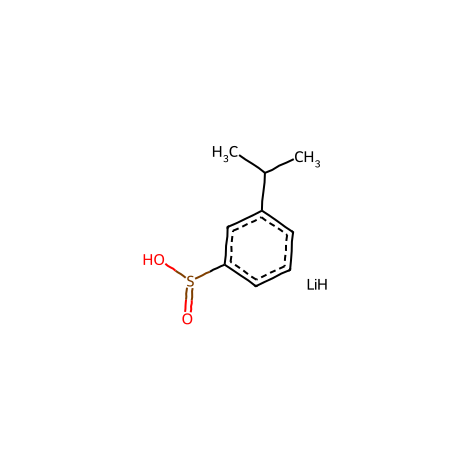 CC(C)c1cccc(S(=O)O)c1.[LiH]